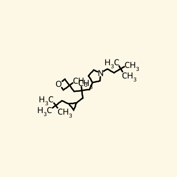 CC(C)(C)CCN1CCC(CC(C)(CC2CC2CC(C)(C)C)CC2(C)COC2)C1